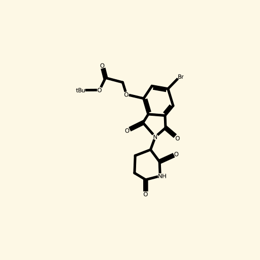 CC(C)(C)OC(=O)COc1cc(Br)cc2c1C(=O)N(C1CCC(=O)NC1=O)C2=O